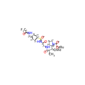 COC(C(C)C(=O)NCC(=O)N[S+]([O-])c1ccc(CNC(=O)C(F)(F)F)cc1)C1CCCN1C(=O)OC(C)(C)C